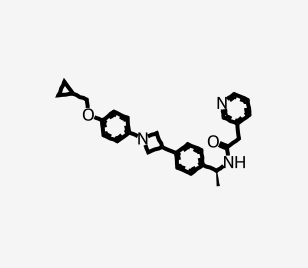 C[C@H](NC(=O)Cc1cccnc1)c1ccc(C2CN(c3ccc(OCC4CC4)cc3)C2)cc1